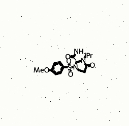 COc1ccc(S(=O)(=O)N2CCC(=O)N(C(C)C)[C@H]2C(N)=O)cc1